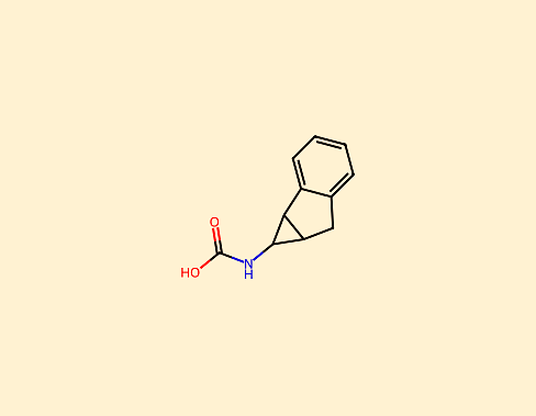 O=C(O)NC1C2Cc3ccccc3C21